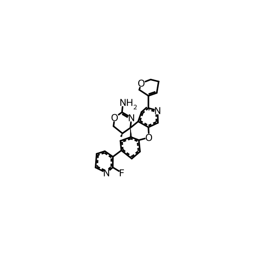 C[C@H]1COC(N)=N[C@@]12c1cc(-c3cccnc3F)ccc1Oc1cnc(C3=CCCOC3)cc12